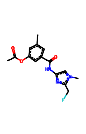 CC(=O)Oc1cc(C)cc(C(=O)Nc2cn(C)c(CF)n2)c1